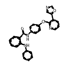 O=C(Nc1ccc(Oc2ncccc2-c2cnco2)cc1)c1ccccc1Nc1ccccc1